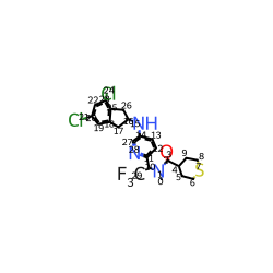 CN(C(=O)C1CCSCC1)C(c1ccc(NC2Cc3cc(Cl)cc(Cl)c3C2)cn1)C(F)(F)F